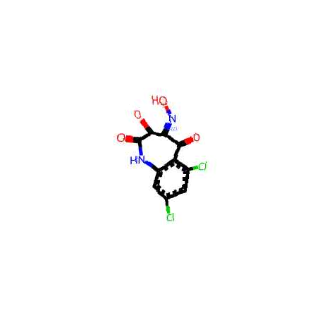 O=C1Nc2cc(Cl)cc(Cl)c2C(=O)/C(=N/O)C1=O